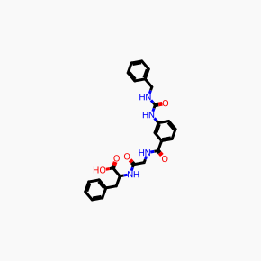 O=C(CNC(=O)c1cccc(NC(=O)NCc2ccccc2)c1)NC(Cc1ccccc1)C(=O)O